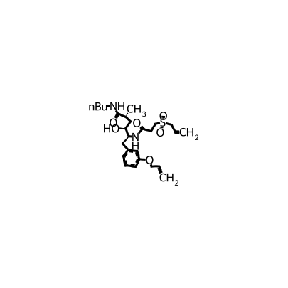 C=CCOc1cccc(C[C@H](NC(=O)CCS(=O)(=O)CC=C)[C@@H](O)C[C@@H](C)C(=O)NCCCC)c1